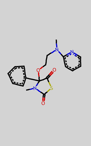 CN(CCOC1(c2ccccc2)C(=O)SC(=O)N1C)c1ccccn1